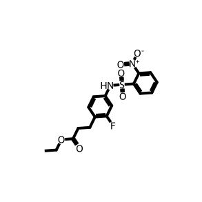 CCOC(=O)CCc1ccc(NS(=O)(=O)c2ccccc2[N+](=O)[O-])cc1F